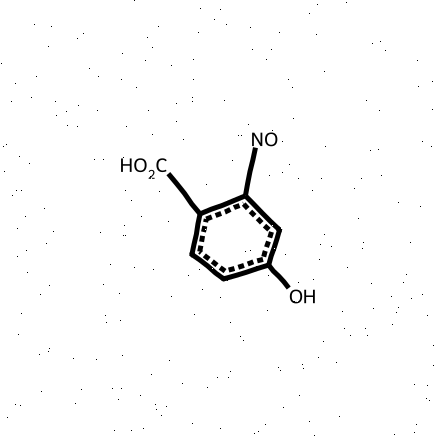 O=Nc1cc(O)ccc1C(=O)O